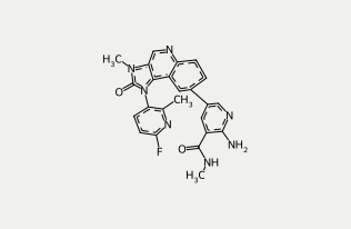 CNC(=O)c1cc(-c2ccc3ncc4c(c3c2)n(-c2ccc(F)nc2C)c(=O)n4C)cnc1N